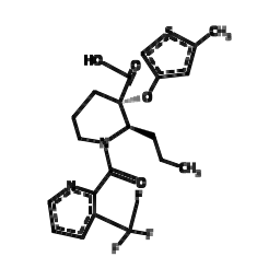 CCC[C@H]1N(C(=O)c2ncccc2C(F)(F)F)CCC[C@@]1(Oc1csc(C)c1)C(=O)O